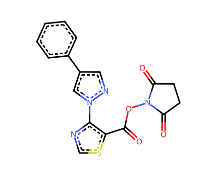 O=C(ON1C(=O)CCC1=O)c1scnc1-n1cc(-c2ccccc2)cn1